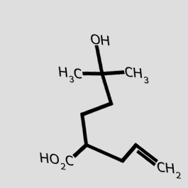 C=CCC(CCC(C)(C)O)C(=O)O